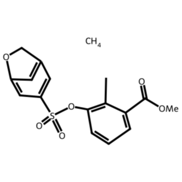 C.COC(=O)c1cccc(OS(=O)(=O)c2cc3cc(c2)OC3)c1C